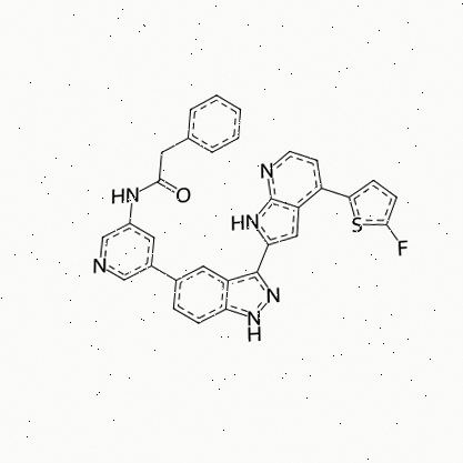 O=C(Cc1ccccc1)Nc1cncc(-c2ccc3[nH]nc(-c4cc5c(-c6ccc(F)s6)ccnc5[nH]4)c3c2)c1